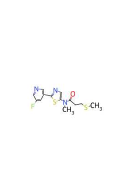 CSCCC(=O)N(C)c1cnc(-c2cncc(F)c2)s1